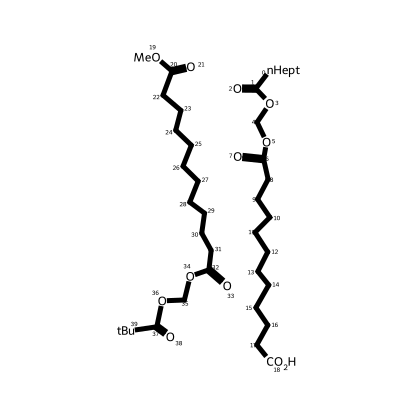 CCCCCCCC(=O)OCOC(=O)CCCCCCCCCCC(=O)O.COC(=O)CCCCCCCCCCC(=O)OCOC(=O)C(C)(C)C